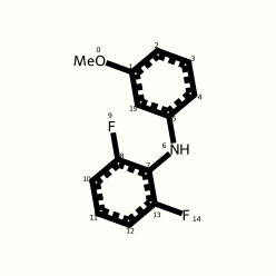 COc1cccc(Nc2c(F)cccc2F)c1